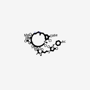 COc1cc2cc(c1Cl)N(C)C(=O)C[C@H](OC(=O)[C@H](C)N(C)C(=O)CCS[C@@H]1CC(=O)N(C[C@H]3CC[C@H](C(C)=O)CC3)C1=O)[C@]1(C)O[C@H]1[C@H](C)[C@@H]1C[C@@](O)(NC(=O)O1)[C@H](OC)/C=C/C=C(\C)C2